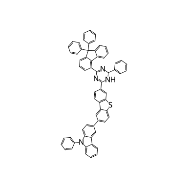 c1ccc(C2N=C(c3cccc4c3-c3ccccc3C4(c3ccccc3)c3ccccc3)N=C(c3ccc4c(c3)sc3ccc(-c5ccc6c(c5)c5ccccc5n6-c5ccccc5)cc34)N2)cc1